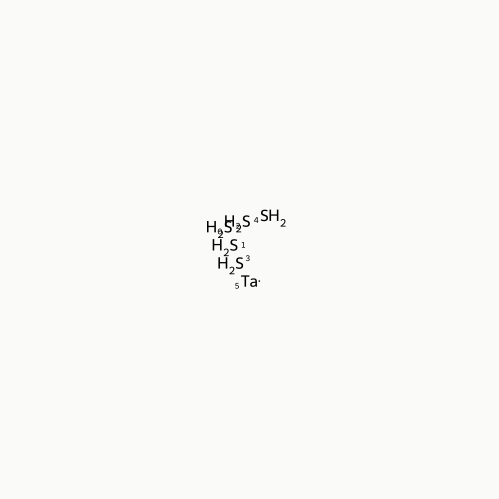 S.S.S.S.S.[Ta]